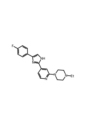 CCN1CCN(c2cc(-c3nc(-c4ccc(F)cc4)c[nH]3)ccn2)CC1